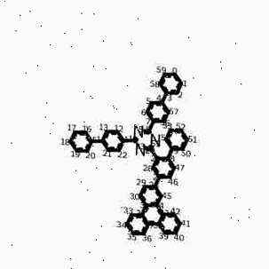 c1ccc(-c2ccc(-c3nc(-c4ccc(-c5ccccc5)cc4)nc(-c4cc(-c5ccc6c7ccccc7c7ccccc7c6c5)ccc4-c4ccccc4)n3)cc2)cc1